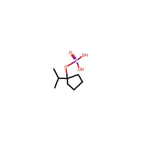 CC(C)C1(OP(=O)(O)O)CCCC1